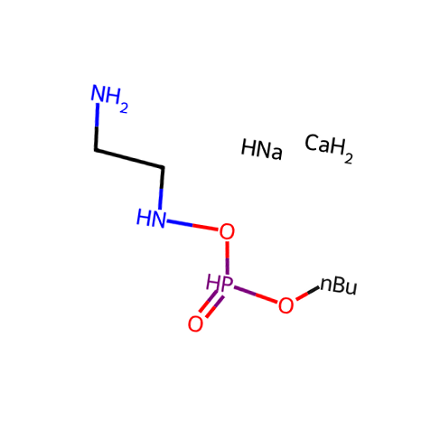 CCCCO[PH](=O)ONCCN.[CaH2].[NaH]